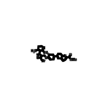 COC(=O)c1ccc2cc(-c3ccc(OCc4c(-c5c(C)ccnc5C)noc4C(C)C)cc3)ccc2n1